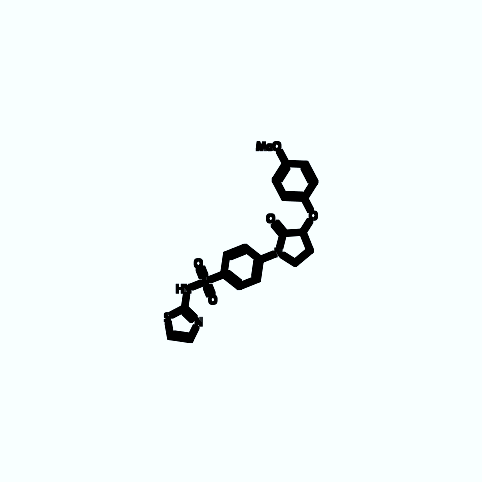 COc1ccc(OC2CCN(c3ccc(S(=O)(=O)Nc4nccs4)cc3)C2=O)cc1